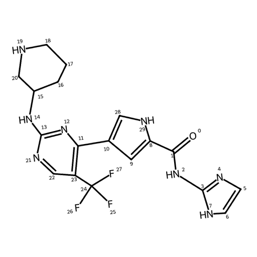 O=C(Nc1ncc[nH]1)c1cc(-c2nc(NC3CCCNC3)ncc2C(F)(F)F)c[nH]1